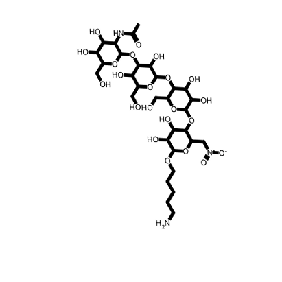 CC(=O)NC1C(OC2C(O)C(CO)OC(OC3C(CO)OC(OC4C(C[N+](=O)[O-])OC(OCCCCCN)C(O)C4O)C(O)C3O)C2O)OC(CO)C(O)C1O